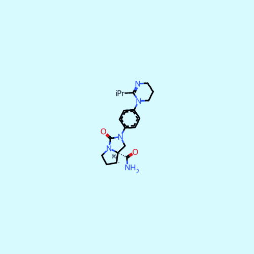 CC(C)C1=NCCCN1c1ccc(N2C[C@@]3(C(N)=O)[CH]CCN3C2=O)cc1